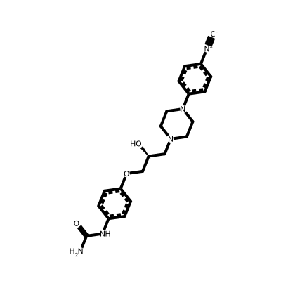 [C-]#[N+]c1ccc(N2CCN(C[C@H](O)COc3ccc(NC(N)=O)cc3)CC2)cc1